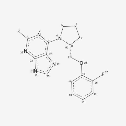 Cc1nc(N2CCC[C@@H]2COc2ccccc2F)c2nc[nH]c2n1